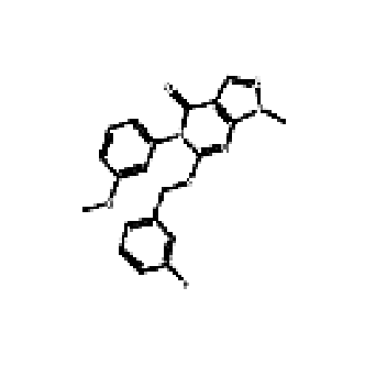 COc1cccc(-n2c(SCc3cccc(F)c3)nc3c(cnn3C)c2=O)c1